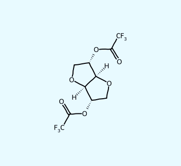 O=C(O[C@H]1CO[C@H]2[C@@H]1OC[C@@H]2OC(=O)C(F)(F)F)C(F)(F)F